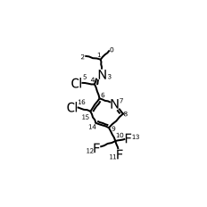 CC(C)N=C(Cl)c1ncc(C(F)(F)F)cc1Cl